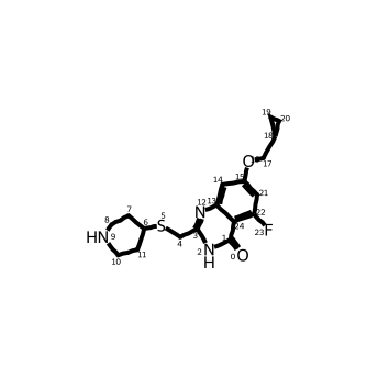 O=c1[nH]c(CSC2CCNCC2)nc2cc(OCC3CC3)cc(F)c12